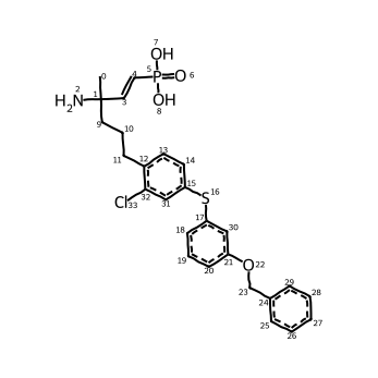 CC(N)(C=CP(=O)(O)O)CCCc1ccc(Sc2cccc(OCc3ccccc3)c2)cc1Cl